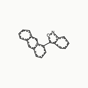 c1ccc2cc3c(-c4onc5ccccc45)cccc3cc2c1